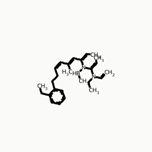 C=CN(CC)/C(=C/C)N(BC)C(=C\C)/C=C(C)/C=C\CCc1ccccc1CC